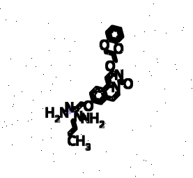 CCCCN(N)/C(COc1ccc2c(c1)CCn1c-2cc(OCC2COc3ccccc3O2)nc1=O)=N\N